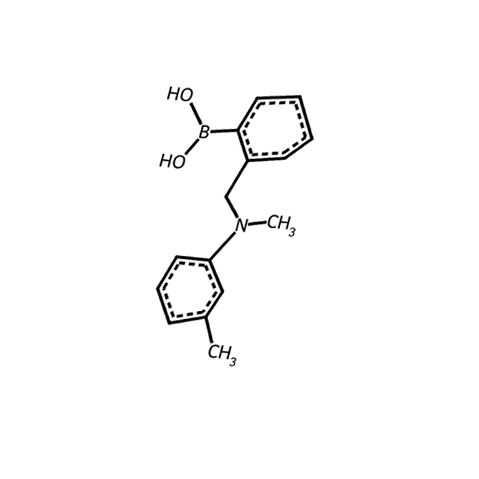 Cc1cccc(N(C)Cc2ccccc2B(O)O)c1